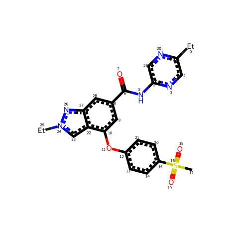 CCc1cnc(NC(=O)c2cc(Oc3ccc(S(C)(=O)=O)cc3)c3cn(CC)nc3c2)cn1